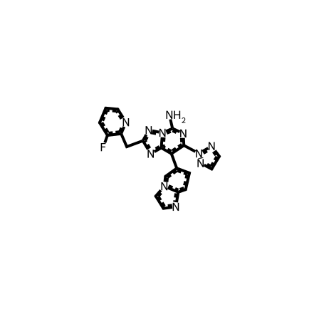 Nc1nc(-n2nccn2)c(-c2ccc3nccn3c2)c2nc(Cc3ncccc3F)nn12